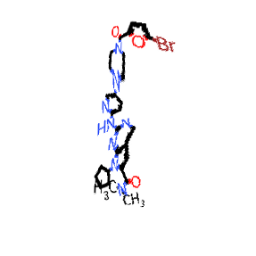 CN(C)C(=O)c1cc2cnc(Nc3ccc(N4CCN(C(=O)c5ccc(Br)o5)CC4)cn3)nc2n1C1CCCC1